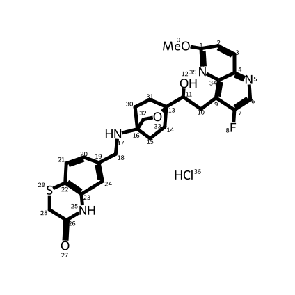 COc1ccc2ncc(F)c(CC(O)C34CCC(NCc5ccc6c(c5)NC(=O)CS6)(CC3)CO4)c2n1.Cl